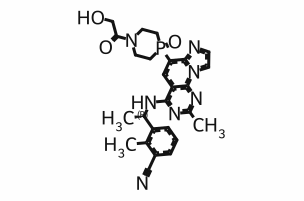 Cc1nc(N[C@H](C)c2cccc(C#N)c2C)c2cc(P3(=O)CCN(C(=O)CO)CC3)c3nccn3c2n1